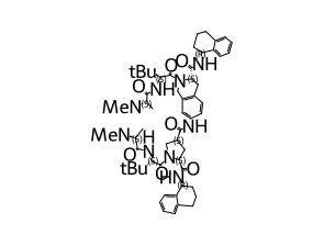 CN[C@@H](C)C(=O)N[C@H](C(=O)N1Cc2cc(NC(=O)[C@H]3C[C@@H](C(=O)N[C@@H]4CCCc5ccccc54)N(C(=O)[C@@H](NC(=O)[C@H](C)NC)C(C)(C)C)C3)ccc2C[C@H]1C(=O)N[C@@H]1CCCc2ccccc21)C(C)(C)C